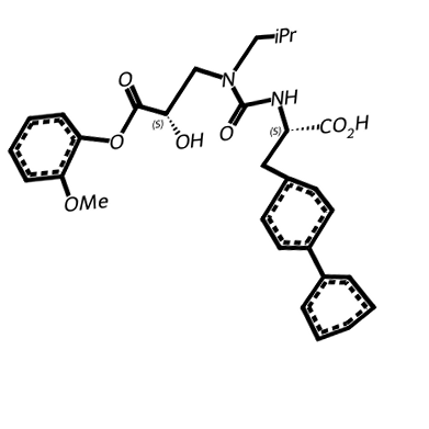 COc1ccccc1OC(=O)[C@@H](O)CN(CC(C)C)C(=O)N[C@@H](Cc1ccc(-c2ccccc2)cc1)C(=O)O